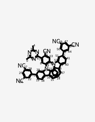 Cc1nc(C)nc(-c2cc(-n3c4ccccc4c4ccc(-c5cc(C#N)cc(C#N)c5)cc43)c(-n3c4ccccc4c4ccc(-c5cc(C#N)cc(C#N)c5)cc43)cc2C#N)n1